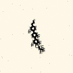 CCCc1ccc(-c2ccc(-c3cc(F)c(O/C=C/C(F)(F)F)c(F)c3)c(F)c2)c(F)c1